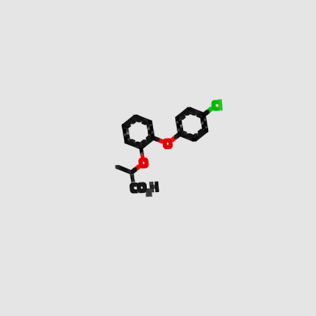 CC(Oc1ccccc1Oc1ccc(Cl)cc1)C(=O)O